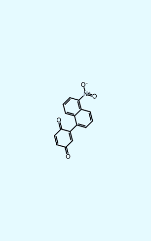 O=C1C=CC(=O)C(c2cccc3c([N+](=O)[O-])cccc23)=C1